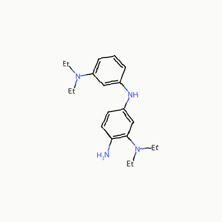 CCN(CC)c1cccc(Nc2ccc(N)c(N(CC)CC)c2)c1